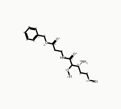 CCOC(C(=O)NCCC(=O)OCc1ccccc1)[C@H](N)CCSCC